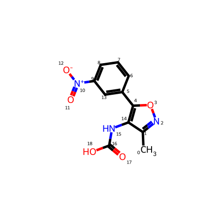 Cc1noc(-c2cccc([N+](=O)[O-])c2)c1NC(=O)O